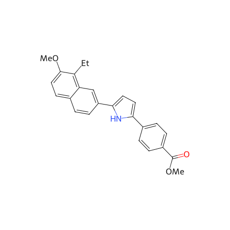 CCc1c(OC)ccc2ccc(-c3ccc(-c4ccc(C(=O)OC)cc4)[nH]3)cc12